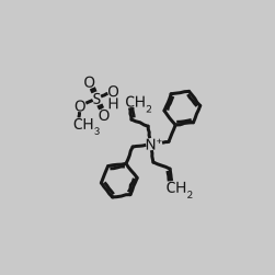 C=CC[N+](CC=C)(Cc1ccccc1)Cc1ccccc1.COS(=O)(=O)O